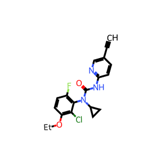 C#Cc1ccc(NC(=O)N(c2c(F)ccc(OCC)c2Cl)C2CC2)nc1